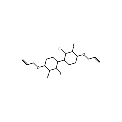 C=CCOC1CCC(C2CCC(OCC=C)C(F)C2Cl)C(F)C1F